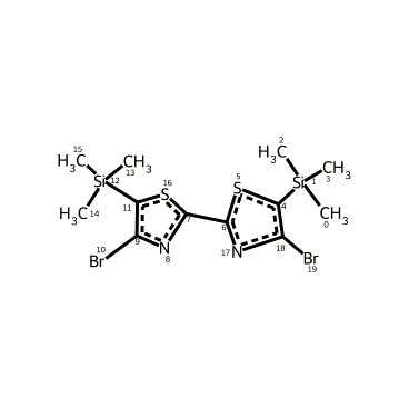 C[Si](C)(C)c1sc(-c2nc(Br)c([Si](C)(C)C)s2)nc1Br